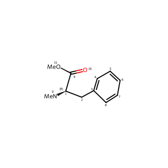 CN[C@H](Cc1ccccc1)C(=O)OC